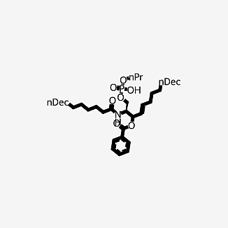 CCCCCCCCCCCCC/C=C/C(OC(=O)c1ccccc1)[C@H](COP(=O)(O)OCCC)NC(=O)CCCCCCCCCCCCCCC